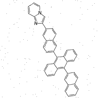 c1ccc2cc(-c3c4ccccc4c(-c4ccc5cc(-c6cn7ccccc7n6)ccc5c4)c4ccccc34)ccc2c1